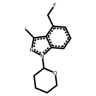 FCc1cccc2c1c(I)nn2C1CCCCO1